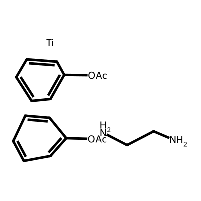 CC(=O)Oc1ccccc1.CC(=O)Oc1ccccc1.NCCN.[Ti]